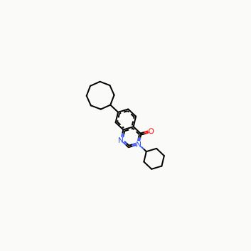 O=c1c2ccc(C3CCCCCCC3)cc2ncn1C1CCCCC1